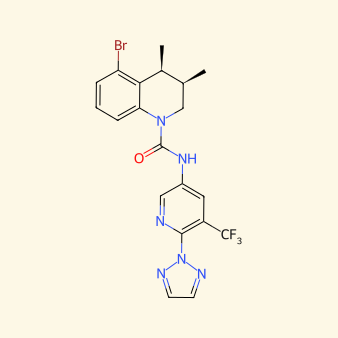 C[C@@H]1c2c(Br)cccc2N(C(=O)Nc2cnc(-n3nccn3)c(C(F)(F)F)c2)C[C@@H]1C